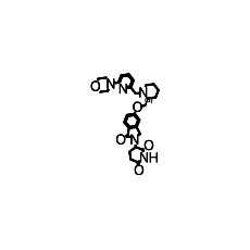 O=C1CCC(N2Cc3cc(OC[C@@H]4CCCCN4Cc4cccc(N5CCOCC5)n4)ccc3C2=O)C(=O)N1